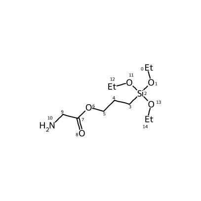 CCO[Si](CCCOC(=O)CN)(OCC)OCC